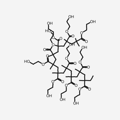 CCC(C)(CC(C)(CC(C)(CC(C)(CC(C)(CC(C)(CC(C)(CC(C)(CC(C)(CC(C)(C)C(=O)OCCO)C(=O)OCCO)C(=O)OCCO)C(=O)OCCO)C(=O)OCCO)C(=O)OCCO)C(=O)OCCO)C(=O)OCCO)C(=O)OCCO)C(=O)OCCO